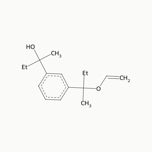 C=COC(C)(CC)c1cccc(C(C)(O)CC)c1